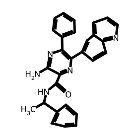 CC(NC(=O)c1nc(-c2ccc3ncccc3c2)c(-c2ccccc2)nc1N)c1ccccc1